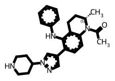 CC(=O)N1c2ccc(-c3cnn(C4CCNCC4)c3)c(Nc3ccccc3)c2CC[C@@H]1C